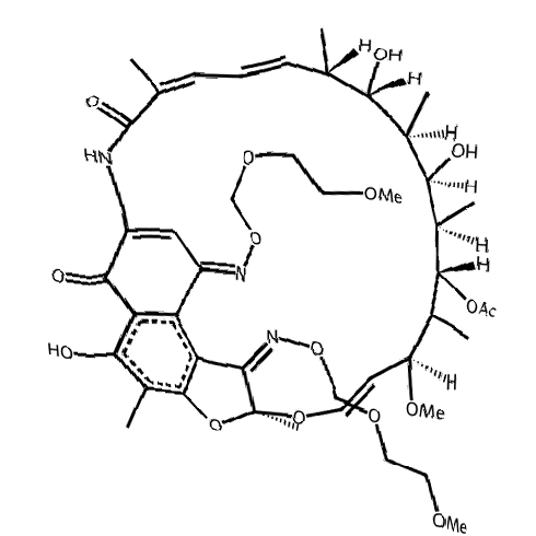 COCCOCO/N=C1/c2c3c(C)c(O)c4c2/C(=N/OCOCCOC)C=C(NC(=O)/C(C)=C\C=C\[C@H](C)[C@H](O)[C@@H](C)[C@@H](O)[C@@H](C)[C@H](OC(C)=O)C(C)[C@@H](OC)/C=C/O[C@@]1(C)O3)C4=O